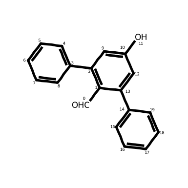 O=Cc1c(-c2ccccc2)cc(O)cc1-c1ccccc1